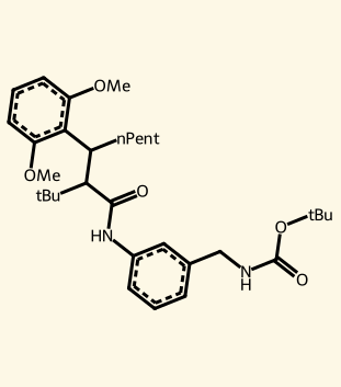 CCCCCC(c1c(OC)cccc1OC)C(C(=O)Nc1cccc(CNC(=O)OC(C)(C)C)c1)C(C)(C)C